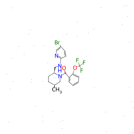 C[C@H]1CC[C@@H](CNc2ccc(Br)cn2)N(C(=O)c2ccccc2OC(F)(F)F)C1